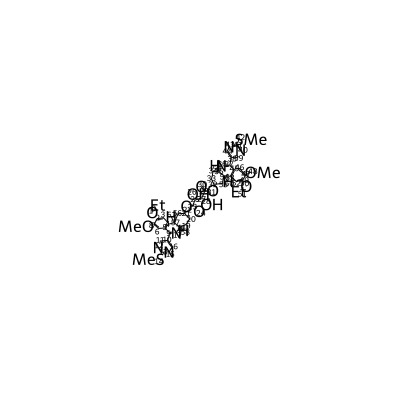 CCOc1cc2c(cc1OC)C(c1cnc(SC)nc1)=N[C@H]1CC[C@H](OC(=O)C(O)C(O)C(=O)O[C@H]3CC[C@@H]4N=C(c5cnc(SC)nc5)c5cc(OC)c(OCC)cc5[C@@H]4C3)C[C@@H]21